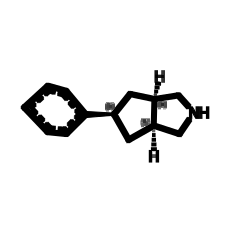 c1ccc([C@H]2C[C@H]3CNC[C@H]3C2)cc1